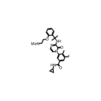 CNCCOc1ccccc1C(C)(C)Nc1nccn(-c2cc(C(=O)NC3CC3)cc(F)c2C)c1=O